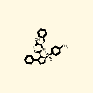 Cc1ccc(S(=O)(=O)N2CCC(c3ccccc3)[C@H]2C(=O)N[C@@H](Cc2ccccc2)C(=O)O)cc1